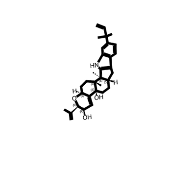 C=CC(C)(C)c1ccc2c3c([nH]c2c1)[C@@]1(C)[C@@H](CC[C@@]2(O)C4=C[C@@H](O)[C@@H](C(=C)C)O[C@H]4CC[C@@]21C)C3